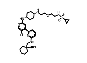 N#CC1(CNc2cccc(-c3cc(N[C@H]4CC[C@H](NCCOCCNS(=O)(=O)C5CC5)CC4)ncc3Cl)n2)CCOCC1